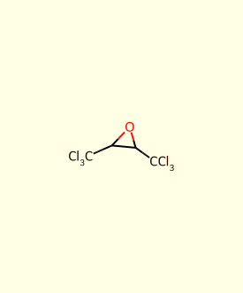 ClC(Cl)(Cl)C1OC1C(Cl)(Cl)Cl